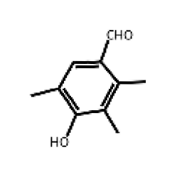 Cc1cc(C=O)c(C)c(C)c1O